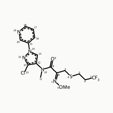 CON=C(CSCCC(F)(F)F)C(=O)N(C)c1cn(-c2cccnc2)nc1Cl